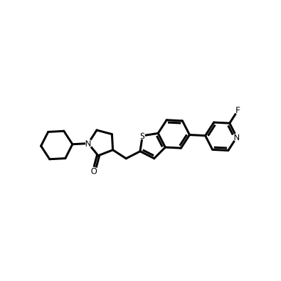 O=C1C(Cc2cc3cc(-c4ccnc(F)c4)ccc3s2)CCN1C1CCCCC1